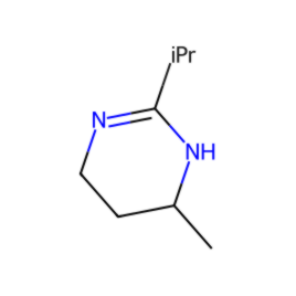 CC1CCN=C(C(C)C)N1